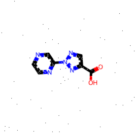 O=C(O)c1cnn(-c2cnccn2)n1